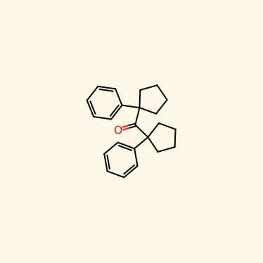 O=C(C1(c2ccccc2)CCCC1)C1(c2ccccc2)CCCC1